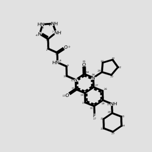 O=C(CC1=NNNN1)NCCn1c(=O)c2cc(F)c(NC3CCCCC3)cc2n(C2CCCC2)c1=O